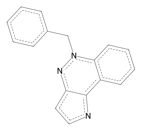 c1ccc(Cn2nc3ccnc-3c3ccccc32)cc1